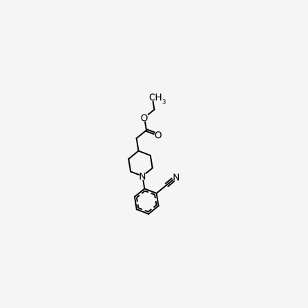 CCOC(=O)CC1CCN(c2ccccc2C#N)CC1